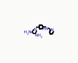 N[C@@H]1C[C@H](N)CN(Cc2ccc(CNCc3ccccn3)cc2)C1